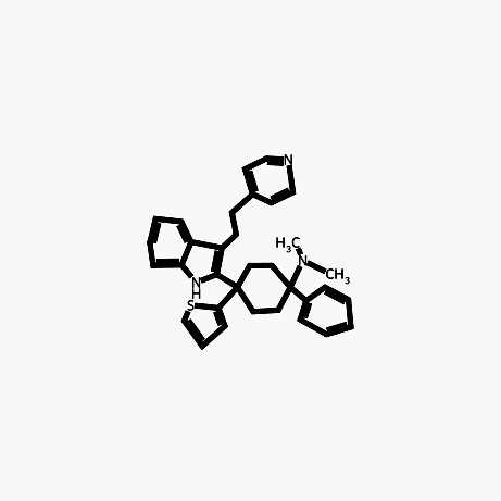 CN(C)C1(c2ccccc2)CCC(c2cccs2)(c2[nH]c3ccccc3c2CCc2ccncc2)CC1